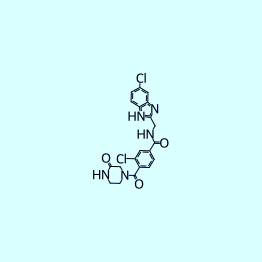 O=C1CN(C(=O)c2ccc(C(=O)NCc3nc4cc(Cl)ccc4[nH]3)cc2Cl)CCN1